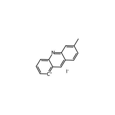 Cc1ccc2cc3c(nc2c1)=CC=C[C+]=3.[I-]